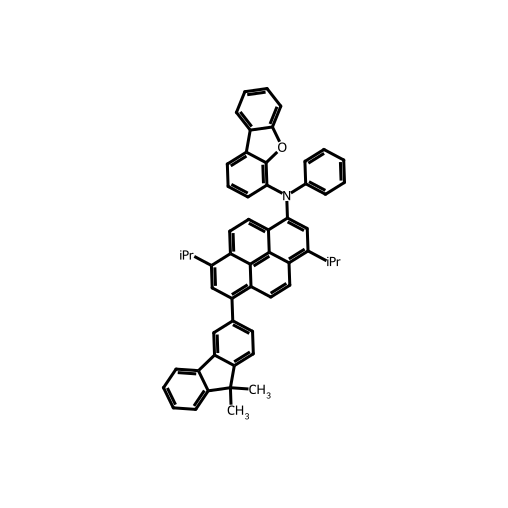 CC(C)c1cc(-c2ccc3c(c2)-c2ccccc2C3(C)C)c2ccc3c(C(C)C)cc(N(c4ccccc4)c4cccc5c4oc4ccccc45)c4ccc1c2c34